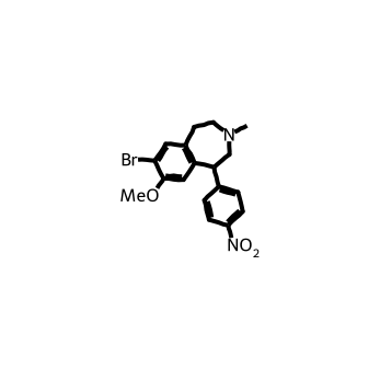 COc1cc2c(cc1Br)CCN(C)CC2c1ccc([N+](=O)[O-])cc1